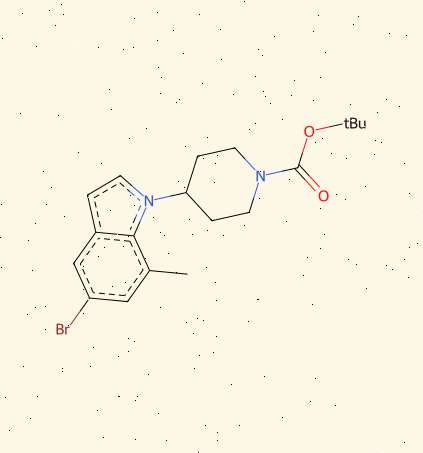 Cc1cc(Br)cc2ccn(C3CCN(C(=O)OC(C)(C)C)CC3)c12